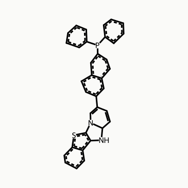 C1=CC2Nc3c(sc4ccccc34)N2C=C1c1ccc2cc(P(c3ccccc3)c3ccccc3)ccc2c1